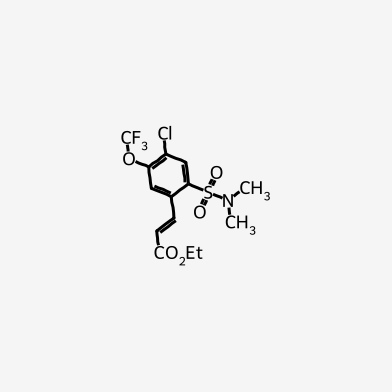 CCOC(=O)C=Cc1cc(OC(F)(F)F)c(Cl)cc1S(=O)(=O)N(C)C